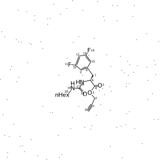 C#CCOC(=O)[C@H](Cc1cc(F)cc(F)c1)NC(=O)NCCCCCC